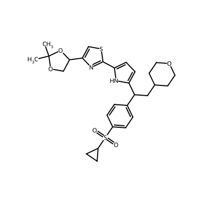 CC1(C)OCC(c2csc(-c3ccc(C(CC4CCOCC4)c4ccc(S(=O)(=O)C5CC5)cc4)[nH]3)n2)O1